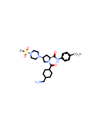 CCS(=O)(=O)N1CCN([C@H]2C[C@@H](C(=O)Nc3ccc(C(=O)O)cc3)N(C(=O)C3CCC(CN)CC3)C2)CC1